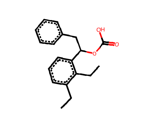 CCc1cccc(C(Cc2ccccc2)OC(=O)O)c1CC